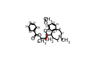 C=C[C@@]12CCN(C)CCc3ccc(OC)c(c31)OC2C[C@H](C)OC(=O)c1ccccc1